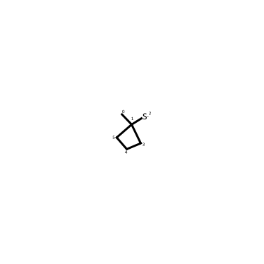 CC1([S])CCC1